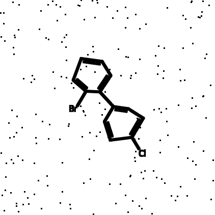 Clc1ccc(-c2ccccc2Br)cc1